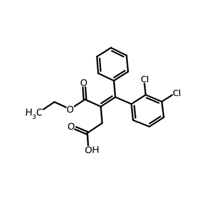 CCOC(=O)C(CC(=O)O)=C(c1ccccc1)c1cccc(Cl)c1Cl